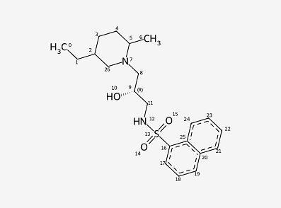 CCC1CCC(C)N(C[C@@H](O)CNS(=O)(=O)c2cccc3ccccc23)C1